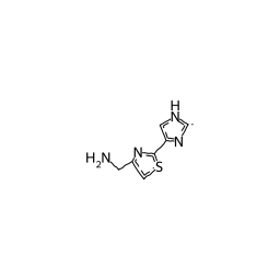 NCc1csc(-c2c[nH][c]n2)n1